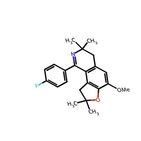 COc1cc2c(c3c1OC(C)(C)C3)C(c1ccc(F)cc1)=NC(C)(C)C2